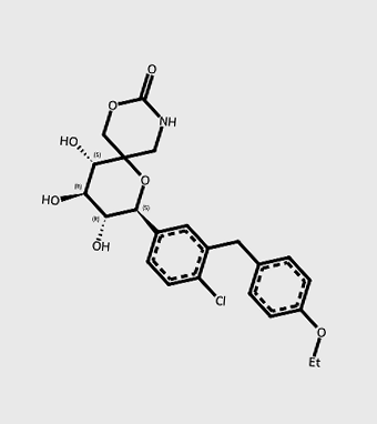 CCOc1ccc(Cc2cc([C@@H]3OC4(CNC(=O)OC4)[C@@H](O)[C@H](O)[C@H]3O)ccc2Cl)cc1